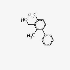 Cc1ccc(-c2ccccc2)c(C)c1CO